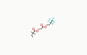 CCC(C)(C)C(=O)OCCC(=O)OCCC(F)(F)C(F)(F)F